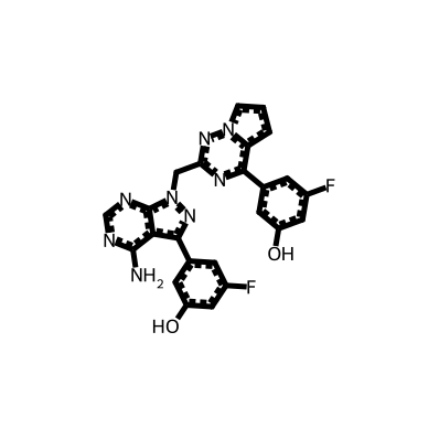 Nc1ncnc2c1c(-c1cc(O)cc(F)c1)nn2Cc1nc(-c2cc(O)cc(F)c2)c2cccn2n1